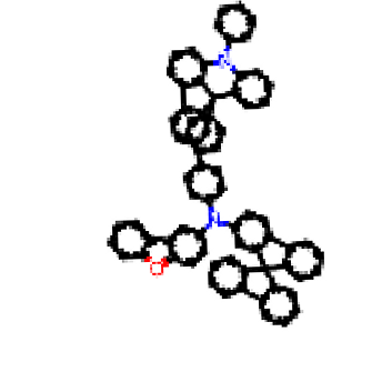 c1ccc(N2c3ccccc3C3(c4ccccc4)c4cc(-c5ccc(N(c6ccc7c(c6)C6(c8ccccc8-c8ccccc86)c6ccccc6-7)c6ccc7oc8ccccc8c7c6)cc5)ccc4-c4cccc2c43)cc1